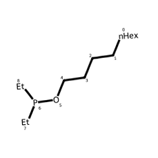 CCCCCCCCCCOP(CC)CC